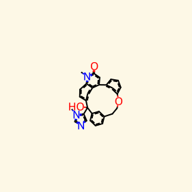 Cn1cncc1C1(O)c2cccc(c2)CCOc2cccc(c2)-c2cc(=O)n(C)c3ccc1cc23